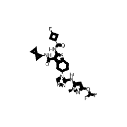 Cn1nc(OC(F)F)cc1Nc1nncn1[C@H]1CCc2sc(NC(=O)[C@H]3C[C@H](F)C3)c(C(=O)N[C@@H]3CC34CC4)c2C1